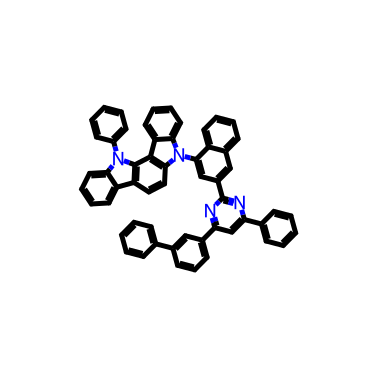 c1ccc(-c2cccc(-c3cc(-c4ccccc4)nc(-c4cc(-n5c6ccccc6c6c5ccc5c7ccccc7n(-c7ccccc7)c56)c5ccccc5c4)n3)c2)cc1